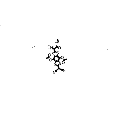 [C-]#[N+]C(C(=O)OCC)=C1Sc2c(OC(C)=O)c3c(c(OC(C)=O)c2S1)SC(=C(C#N)C#N)S3